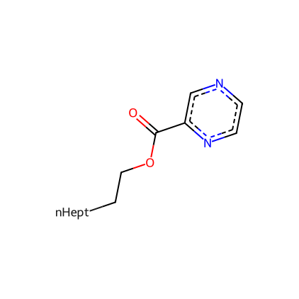 CCCCCCCCCOC(=O)c1cnccn1